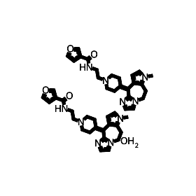 Cn1ccc2c1CCn1ccnc1C2=C1CCN(CCNC(=O)c2ccoc2)CC1.Cn1ccc2c1CCn1ccnc1C2=C1CCN(CCNC(=O)c2ccoc2)CC1.O